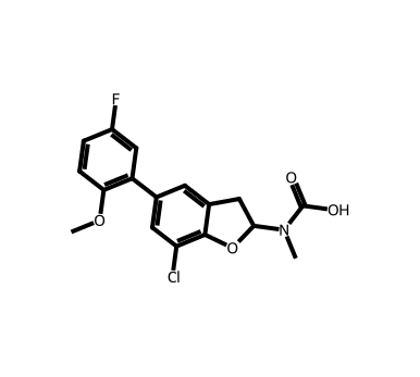 COc1ccc(F)cc1-c1cc(Cl)c2c(c1)CC(N(C)C(=O)O)O2